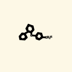 O=C(O)c1ccc(Oc2ccccc2-c2ccccc2)cc1